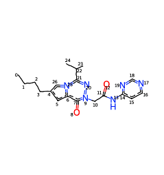 CCCCc1cc2c(=O)n(CC(=O)Nc3ccncn3)nc(C(C)C)n2c1